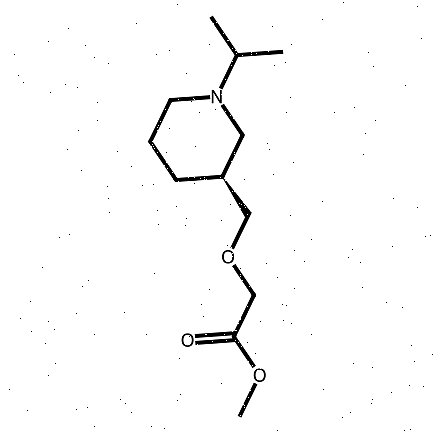 COC(=O)COC[C@H]1CCCN(C(C)C)C1